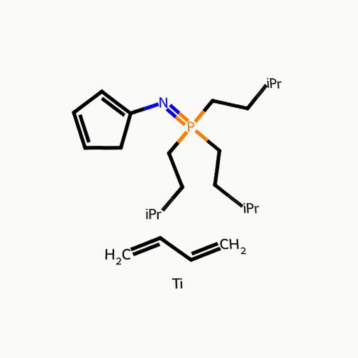 C=CC=C.CC(C)CCP(CCC(C)C)(CCC(C)C)=NC1=CC=CC1.[Ti]